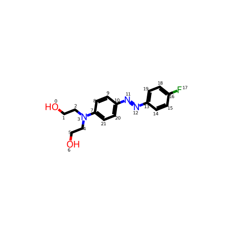 OCCN(CCO)c1ccc(N=Nc2ccc(F)cc2)cc1